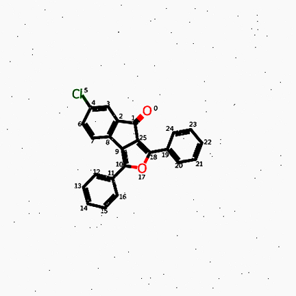 O=C1c2cc(Cl)ccc2-c2c(-c3ccccc3)oc(-c3ccccc3)c21